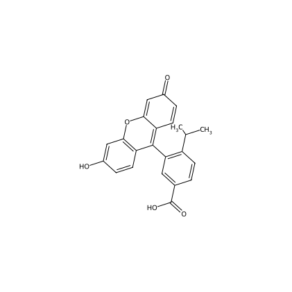 CC(C)c1ccc(C(=O)O)cc1-c1c2ccc(=O)cc-2oc2cc(O)ccc12